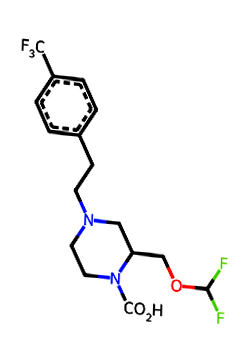 O=C(O)N1CCN(CCc2ccc(C(F)(F)F)cc2)CC1COC(F)F